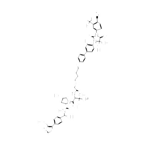 Cc1ncoc1-c1ccc(C(C)NC(=O)[C@@H]2C[C@@H](O)CN2C(=O)C(NC(=O)COCCCCOc2ccc(-c3ccc(N4C(=S)N(c5ccc(C#N)c(C(F)(F)F)c5)C(=O)C4(C)C)c(F)c3)cc2)C(C)(C)C)cc1